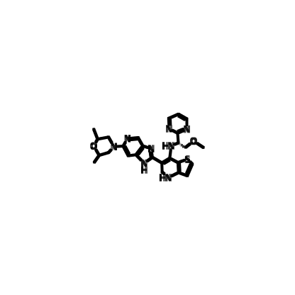 COC[C@H](NC1=C(c2nc3cnc(N4CC(C)OC(C)C4)cc3[nH]2)CNc2ccsc21)c1ncccn1